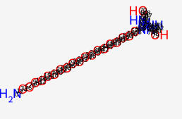 NCCOCCOCCOCCOCCOCCOCCOCCOCCOCCOCCOCCOCCOCCOCCOCCOCCOCCOCCOCCNc1nc(Nc2cccc(O)c2)nc(Nc2ccc(O)c3ccccc23)n1